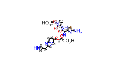 CC1(C)[C@H](NC(=O)/C(=N\O[C@H](COc2ccc3nc(CC4CNC4)cn3c2)C(=O)O)c2csc(N)n2)C(=O)N1OS(=O)(=O)O